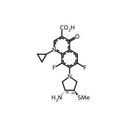 CS[C@@H]1CN(c2c(F)cc3c(=O)c(C(=O)O)cn(C4CC4)c3c2F)C[C@H]1N